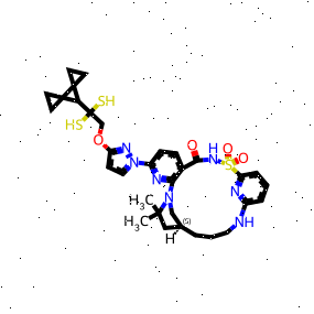 CC1(C)C[C@@H]2CCCNc3cccc(n3)S(=O)(=O)NC(=O)c3ccc(-n4ccc(OCC(S)(S)C5C6(CC6)C56CC6)n4)nc3N1C2